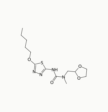 CCCCCOc1nnc(NC(=O)N(C)CC2OCCO2)s1